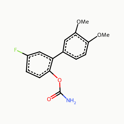 COc1ccc(-c2cc(F)ccc2OC(N)=O)cc1OC